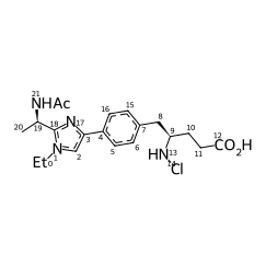 CCn1cc(-c2ccc(C[C@@H](CCC(=O)O)NCl)cc2)nc1[C@@H](C)NC(C)=O